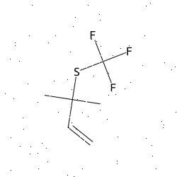 C=CC(C)(C)SC(F)(F)F